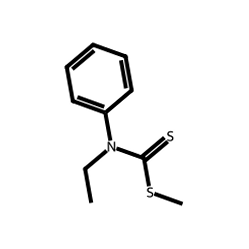 CCN(C(=S)SC)c1ccccc1